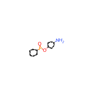 Nc1ccc(O[P](=O)c2ccccc2)cc1